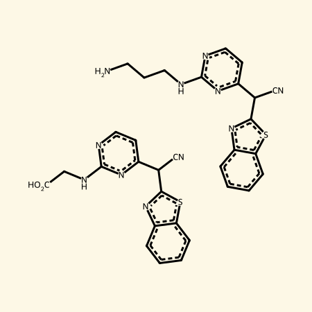 N#CC(c1ccnc(NCC(=O)O)n1)c1nc2ccccc2s1.N#CC(c1ccnc(NCCCN)n1)c1nc2ccccc2s1